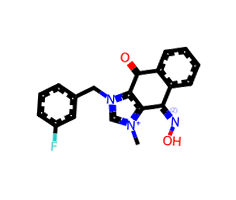 C[n+]1cn(Cc2cccc(F)c2)c2c1/C(=N\O)c1ccccc1C2=O